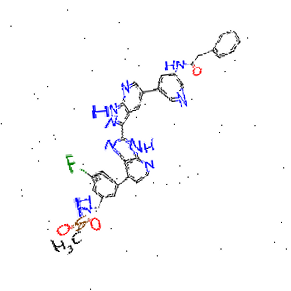 CS(=O)(=O)NCc1cc(F)cc(-c2ccnc3[nH]c(-c4n[nH]c5ncc(-c6cncc(NC(=O)Cc7ccccc7)c6)cc45)nc23)c1